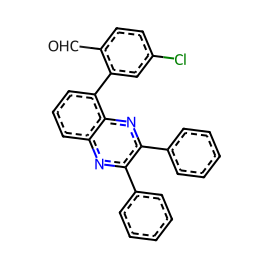 O=Cc1ccc(Cl)cc1-c1cccc2nc(-c3ccccc3)c(-c3ccccc3)nc12